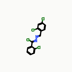 ClC(=NN=Cc1ccc(Cl)cc1Cl)c1ccccc1Cl